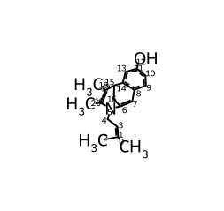 CC(C)=CCN1C2=Cc3ccc(O)cc3C(C2)C(C)=C1C